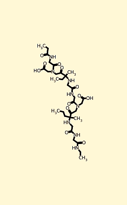 CCCC(C)(NCC(=O)NCC(=O)NCC)C(=O)CN(CC(=O)O)C(=O)CNC(=O)CNC(C)(CC)C(=O)CN(CC(=O)O)C(=O)CNC(=O)CC